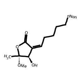 CCCCCCCCCCCCC/C=C1\C(=O)O[C@@](C)(OC)[C@@H]1O